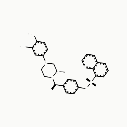 COc1ccc(N2CCN(C(=O)c3ccc(NS(=O)(=O)c4cccc5cccnc45)cc3)[C@H](C)C2)cc1OC